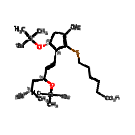 CCCC[C@@H](C)C[C@@H](C=C[C@@H]1C(SCCCCCC(=O)O)=C(OC(C)=O)C[C@H]1O[Si](C)(C)C(C)(C)C)O[Si](C)(C)C(C)(C)C